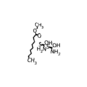 CCCCCCCCC(=O)OCC.NC(O)=S.NC(O)=S